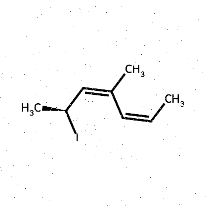 C/C=C\C(C)=C/[C@H](C)I